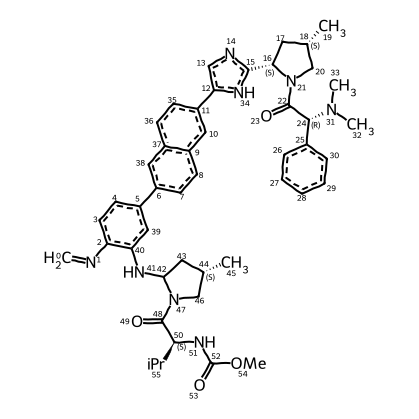 C=Nc1ccc(-c2ccc3cc(-c4cnc([C@@H]5C[C@H](C)CN5C(=O)[C@@H](c5ccccc5)N(C)C)[nH]4)ccc3c2)cc1NC1C[C@H](C)CN1C(=O)[C@@H](NC(=O)OC)C(C)C